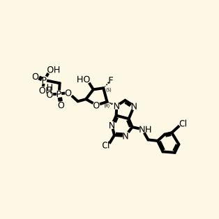 O=P(O)(O)CP(=O)(O)OCC1O[C@@H](n2cnc3c(NCc4cccc(Cl)c4)nc(Cl)nc32)[C@@H](F)C1O